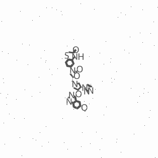 COc1ccc2ncnc(O[C@H]3CN(C[C@@H]4CN(c5ccc6c(c5)NC(=O)CS6)C(=O)O4)C[C@@H]3n3ccnn3)c2c1